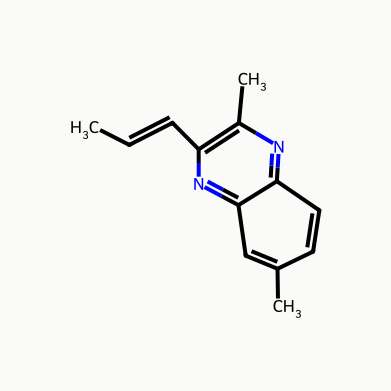 C/C=C/c1nc2cc(C)ccc2nc1C